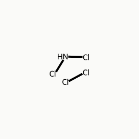 ClCl.ClNCl